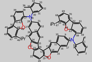 Cc1ccccc1N(c1ccc2cc3c(cc2c1)oc1ccc2oc4cc5cc(N(c6ccccc6C)c6cccc7c6oc6c(C(C)C)cccc67)ccc5cc4c2c13)c1cccc2c1oc1c(C(C)C)cccc12